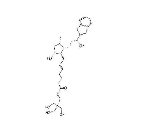 O=C(CCCC=CC[C@@H]1[C@@H](CC[C@@H](O)C2Cc3ccccc3C2)[C@@H](F)C[C@H]1O)OCC(CO)(CO)CO